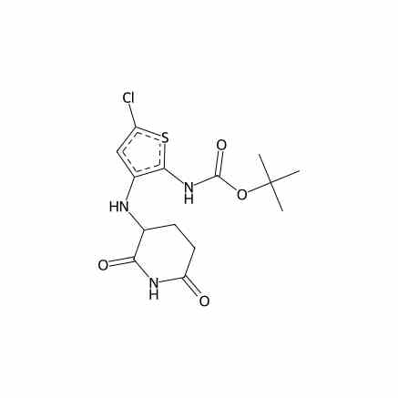 CC(C)(C)OC(=O)Nc1sc(Cl)cc1NC1CCC(=O)NC1=O